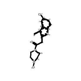 CCN1CCN(C(=O)Cc2sc3ccc(Cl)cc3c2C)CC1